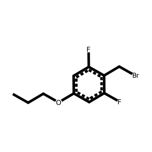 CCCOc1cc(F)c(CBr)c(F)c1